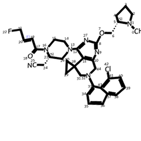 CN1CCC[C@H]1COc1nc2c(c(N3CCN(C(=O)/C=C/CF)[C@@H](CC#N)C3)n1)C1(CC1)CN(c1cccc3cccc(Cl)c13)C2